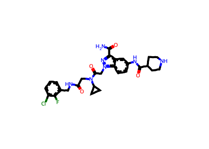 NC(=O)c1nn(CC(=O)N(CC(=O)NCc2cccc(Cl)c2F)C2CC2)c2ccc(NC(=O)C3CCNCC3)cc12